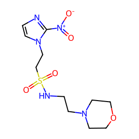 O=[N+]([O-])c1nccn1CCS(=O)(=O)NCCN1CCOCC1